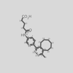 Cc1nnc(-c2ccc(NC(=O)CCCC(=O)O)cn2)c2c1CCCCCC2